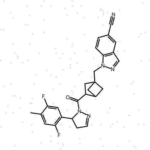 Cc1cc(F)c(C2CC=NN2C(=O)C2CC3(Cn4ncc5cc(C#N)ccc54)CC2C3)cc1F